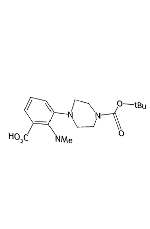 CNc1c(C(=O)O)cccc1N1CCN(C(=O)OC(C)(C)C)CC1